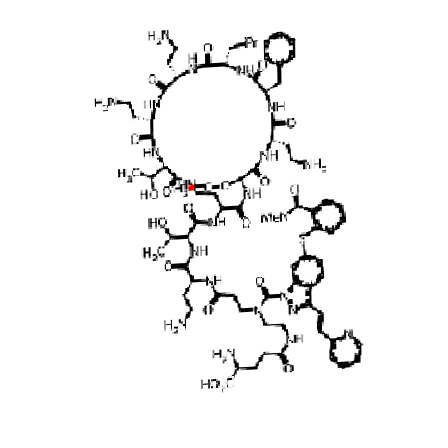 CNC(=O)c1ccccc1Sc1ccc2c(/C=C/c3ccccn3)nn(C(=O)N(CCNC(=O)CC[C@H](N)C(=O)O)CCC(=O)N[C@@H](CCN)C(=O)N[C@H](C(=O)NC(CCN)C(=O)N[C@H]3CCNC(=O)[C@@H]([C@H](C)O)NC(=O)[C@H](CCN)NC(=O)[C@H](CCN)NC(=O)[C@H](CC(C)C)NC(=O)[C@@H](Cc4ccccc4)NC(=O)[C@H](CCN)NC3=O)[C@@H](C)O)c2c1